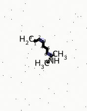 C=C/C=C\CC/C=C(\C)NC